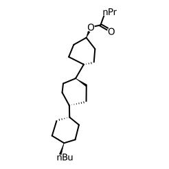 CCCC[C@H]1CC[C@H]([C@H]2CC[C@H]([C@H]3CC[C@H](OC(=O)CCC)CC3)CC2)CC1